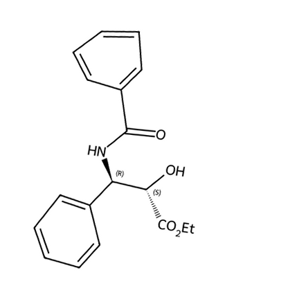 CCOC(=O)[C@@H](O)[C@H](NC(=O)c1ccccc1)c1ccccc1